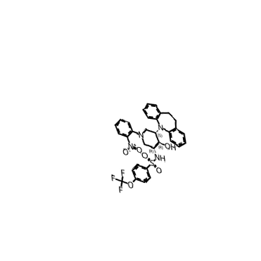 O=[N+]([O-])c1ccccc1N1C[C@@H](NS(=O)(=O)c2ccc(OC(F)(F)F)cc2)[C@H](O)[C@@H](N2c3ccccc3CCc3ccccc32)C1